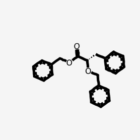 O=C(OCc1ccccc1)[C@H](Cc1ccccc1)OCc1ccccc1